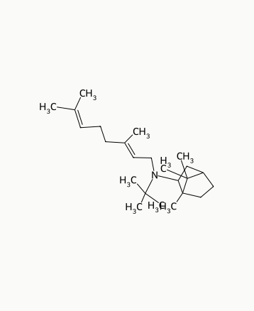 CC(C)=CCC/C(C)=C/CN(C1CC2CCC1(C)C2(C)C)C(C)(C)C